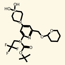 CC(C)(C)OC(=O)N(CC(F)(F)F)c1cc(N2CCS(O)(O)CC2)cc(COC2CCCCO2)n1